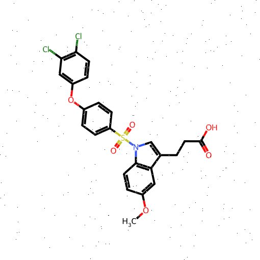 COc1ccc2c(c1)c(CCC(=O)O)cn2S(=O)(=O)c1ccc(Oc2ccc(Cl)c(Cl)c2)cc1